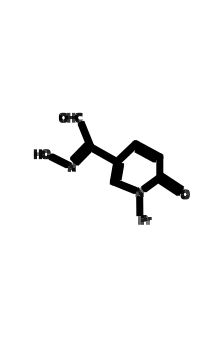 CC(C)n1cc(C(C=O)=NO)ccc1=O